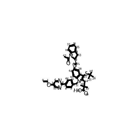 CCOc1cnc(-c2ccc(Cn3c(CC(C)(C)C(=O)O)c(SC(C)(C)C)c4cc(OC[C@@H]5Cc6ccccc6N5C(C)=O)ccc43)cc2)nc1